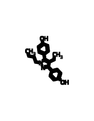 CCCCn1nc(-c2ccc(O)cc2)c(CC)c1-c1ccc(O)cc1